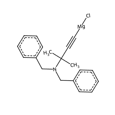 CC(C)(C#[C][Mg][Cl])N(Cc1ccccc1)Cc1ccccc1